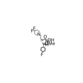 CO[C@H](C[C@H](CCN1CCC(F)(F)CC1)C(=O)NO)c1ccc(F)cc1